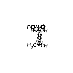 Cc1cc(C)nc(N2CC3CN(C(O)C4=C(c5ccccc5)N=C5C=CC(F)=C[C@H]5CC4)CC3C2)n1